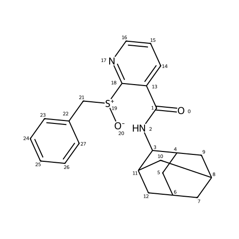 O=C(NC1C2CC3CC(C2)CC1C3)c1cccnc1[S+]([O-])Cc1ccccc1